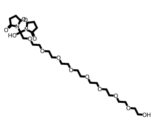 O=C1CCC(=O)N1C(O)(COCCOCCOCCOCCOCCOCCOCCOCCO)N1C(=O)CCC1=O